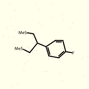 CSCC(CSC)c1ccc(F)cc1